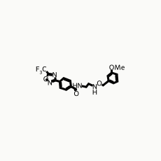 COc1cccc(CONCCNC(=O)c2ccc(-c3noc(C(F)(F)F)n3)cc2)c1